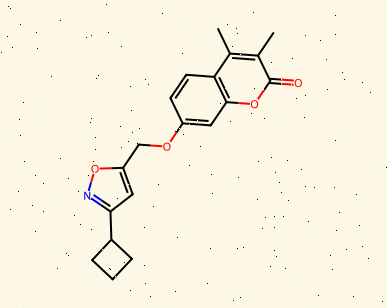 Cc1c(C)c2ccc(OCc3cc(C4CCC4)no3)cc2oc1=O